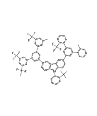 Cc1cc(-c2cc(-c3cc(C(F)(F)F)cc(C(F)(F)F)c3)cc(-c3ccc4c(c3)c3cc(-c5cc(-c6ccccc6C)cc(-c6ccccc6C(F)(F)F)c5)ccc3n4-c3ccccc3C(C)(C)C)c2)cc(C(F)(F)F)c1